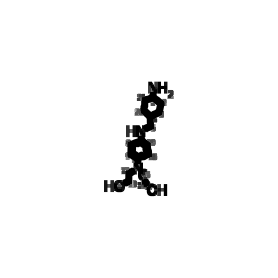 NC1CCC(CNc2ccc(N(CCO)CCO)cc2)CC1